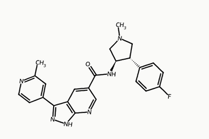 Cc1cc(-c2n[nH]c3ncc(C(=O)N[C@H]4CN(C)C[C@@H]4c4ccc(F)cc4)cc23)ccn1